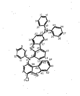 Clc1ccc(N(c2ccccc2)c2cccc3c2sc2ccc(N(c4ccccc4)c4ccccc4)cc23)c2c1sc1ccccc12